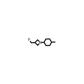 CC1CCC(N2CC(CF)C2)CC1